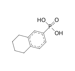 O=P(O)(O)c1ccc2c(c1)CCCC2